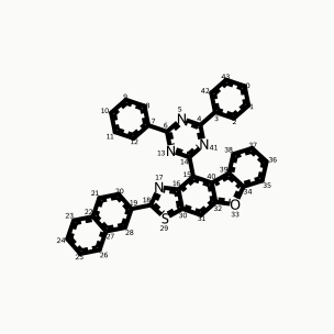 c1ccc(-c2nc(-c3ccccc3)nc(-c3c4nc(-c5ccc6ccccc6c5)sc4cc4oc5ccccc5c34)n2)cc1